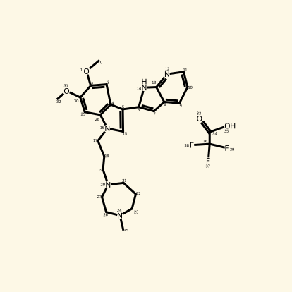 COc1cc2c(-c3cc4cccnc4[nH]3)cn(CCCN3CCCN(C)CC3)c2cc1OC.O=C(O)C(F)(F)F